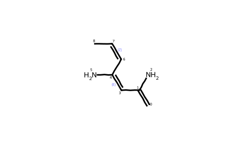 C=C(N)/C=C(N)\C=C/C